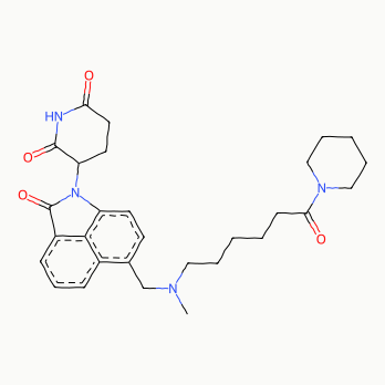 CN(CCCCCC(=O)N1CCCCC1)Cc1ccc2c3c(cccc13)C(=O)N2C1CCC(=O)NC1=O